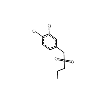 CCCS(=O)(=O)Cc1ccc(Cl)c(Cl)c1